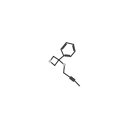 CC#CCOC1(c2cc[c]cc2)COC1